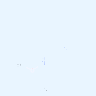 CCONc1c(N2CCc3ccccc3C2)cccc1[N+](=O)[O-]